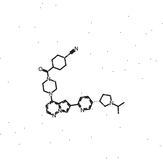 CC(C)N1CC[C@@H](c2ccc(-c3cc4c(N5CCN(C(=O)C6CCC(C#N)CC6)CC5)ccnn4c3)nc2)C1